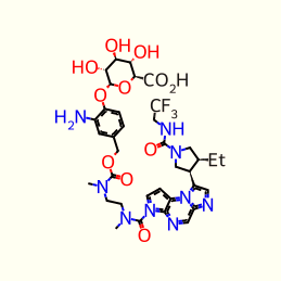 CC[C@@H]1CN(C(=O)NCC(F)(F)F)C[C@@H]1c1cnc2cnc3c(ccn3C(=O)N(C)CCN(C)C(=O)OCc3ccc(O[C@@H]4O[C@H](C(=O)O)[C@@H](O)[C@H](O)[C@H]4O)c(N)c3)n12